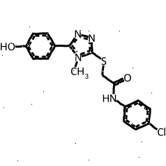 Cn1c(SCC(=O)Nc2ccc(Cl)cc2)nnc1-c1ccc(O)cc1